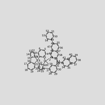 CC1(C)c2ccccc2C2(c3ccccc3-c3ccccc32)c2cccc(-c3cccc(N(c4ccc5ccccc5c4)c4ccc5cc(-c6ccccc6)ccc5c4)c3)c21